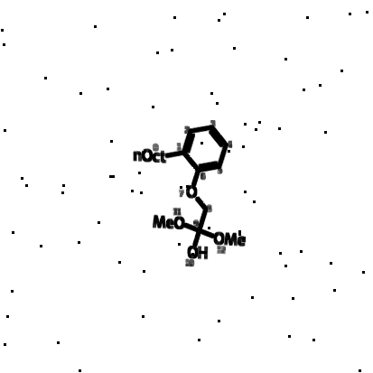 CCCCCCCCc1ccccc1OCC(O)(OC)OC